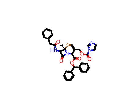 O=C(Cc1ccccc1)NC1C(=O)N2C(C(=O)OC(c3ccccc3)c3ccccc3)C(COC(=O)n3ccnc3)=CS[C@H]12